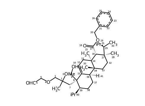 COC(C)(COCC=O)C[C@]1(CO)C2=CC[C@@]3(C)[C@H](C(=O)OCc4ccccc4)[C@@](C)([C@H](C)C(C)C)CC[C@]3(C)[C@H]2CC[C@H]1C(C)C